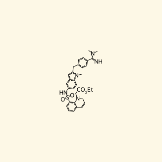 CCOC(=O)CN1CC=Cc2cccc(S(=O)(=O)Nc3ccc4c(c3)cc(Cc3ccc(C(=N)N(C)C)cc3)n4C)c21